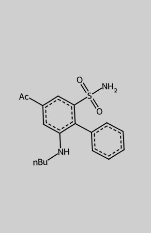 CCCCNc1cc(C(C)=O)cc(S(N)(=O)=O)c1-c1ccccc1